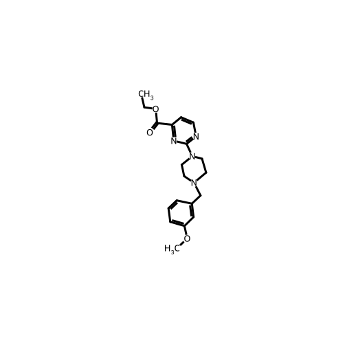 CCOC(=O)c1ccnc(N2CCN(Cc3cccc(OC)c3)CC2)n1